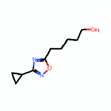 OCCCCCc1nc(C2CC2)no1